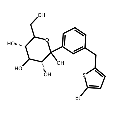 CCc1ccc(Cc2cccc(C3(O)OC(CO)[C@@H](O)C(O)[C@H]3O)c2)s1